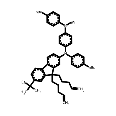 C=CCCCC1(CCCC=C)c2cc(N(c3ccc(CCCC)cc3)c3ccc(N(c4ccc(CCCC)cc4)C(C)C)cc3)ccc2-c2ccc(C(C)(C)CC)cc21